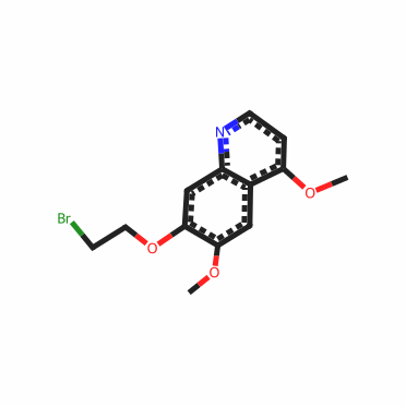 COc1cc2c(OC)ccnc2cc1OCCBr